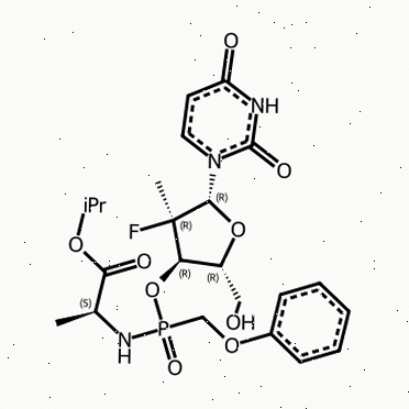 CC(C)OC(=O)[C@H](C)NP(=O)(COc1ccccc1)O[C@@H]1[C@@H](CO)O[C@@H](n2ccc(=O)[nH]c2=O)[C@]1(C)F